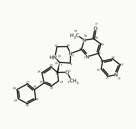 COC1([C@@H]2CN(c3nc(-c4ccncc4)cc(=O)n3C)CCN2)C=CC(c2ccccc2)=CC1